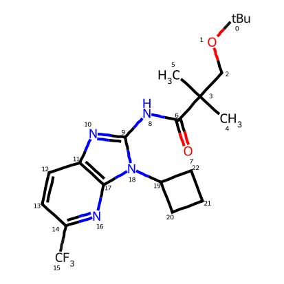 CC(C)(C)OCC(C)(C)C(=O)Nc1nc2ccc(C(F)(F)F)nc2n1C1CCC1